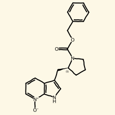 O=C(OCc1ccccc1)N1CCC[C@H]1Cc1c[nH]c2c1ccc[n+]2[O-]